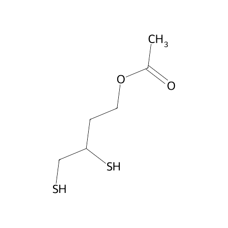 CC(=O)OCCC(S)CS